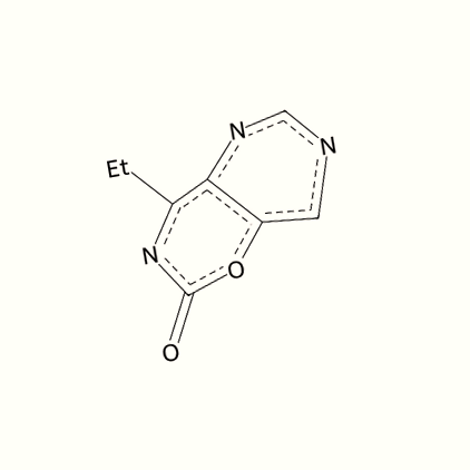 CCc1nc(=O)oc2cncnc12